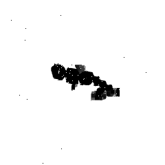 CCc1cc(CCCC(CO)CO)ccc1-c1ccc(C2CCCCC2)cc1F